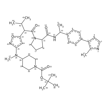 Cc1ncsc1-c1ccc(C(C)NC(=O)C2CCCN2C(=O)C(c2cc(N(C)C3CCN(C(=O)OC(C)(C)C)CC3)no2)C(C)C)cc1